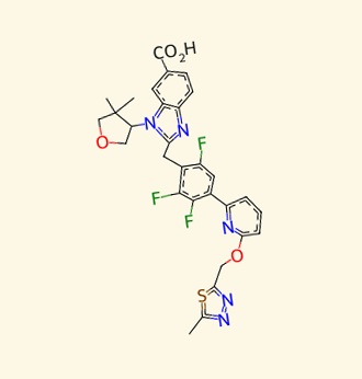 Cc1nnc(COc2cccc(-c3cc(F)c(Cc4nc5ccc(C(=O)O)cc5n4C4COCC4(C)C)c(F)c3F)n2)s1